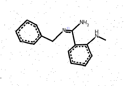 CNc1ccccc1/C(N)=N\Cc1ccccc1